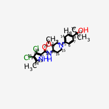 CO[C@H]1CN(c2ccc(C(C)(C)O)cc2)CC[C@H]1NC(=O)c1[nH]c(C)c(Cl)c1Cl